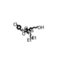 CCN(CC)CCn1cc(C(=O)NCc2ccc(Cl)cc2)c(=O)c2cc(CCCO)sc21